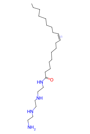 CCCCCCCC/C=C\CCCCCCCC(=O)NCCNCCNCCN